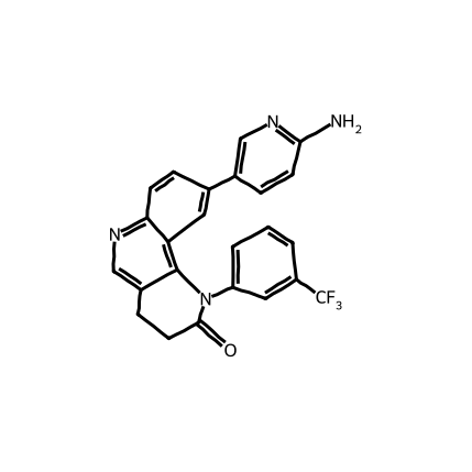 Nc1ccc(-c2ccc3ncc4c(c3c2)N(c2cccc(C(F)(F)F)c2)C(=O)CC4)cn1